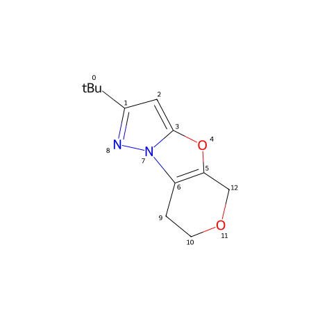 CC(C)(C)c1cc2oc3c(n2n1)CCOC3